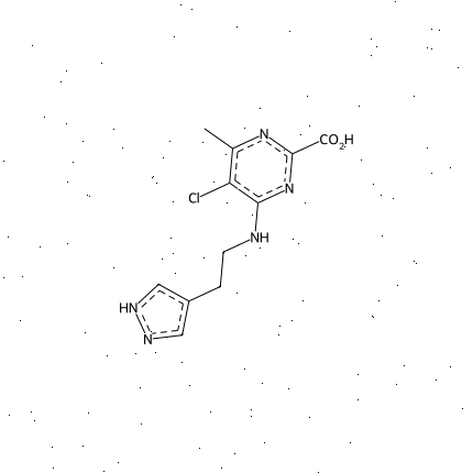 Cc1nc(C(=O)O)nc(NCCc2cn[nH]c2)c1Cl